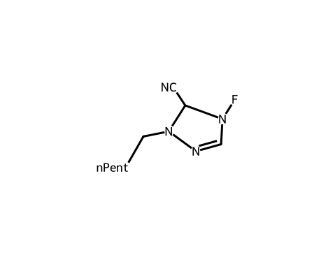 CCCCCCN1N=CN(F)C1C#N